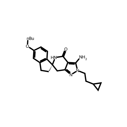 CCCCOc1ccc2c(c1)CC[C@]21Cc2nn(CCC3CC3)c(N)c2C(=O)N1